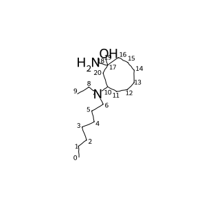 CCCCCCCN(CC)C1CCCCCCC(N)(O)C1